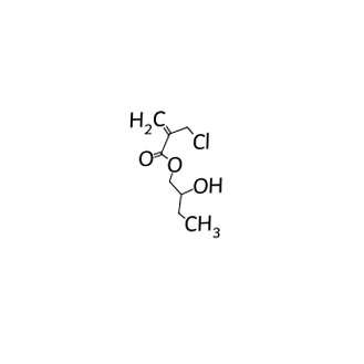 C=C(CCl)C(=O)OCC(O)CC